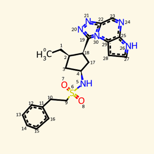 CC[C@@H]1C[C@H](NS(=O)(=O)CCc2ccccc2)C[C@@H]1c1nnc2cnc3[nH]ccc3n12